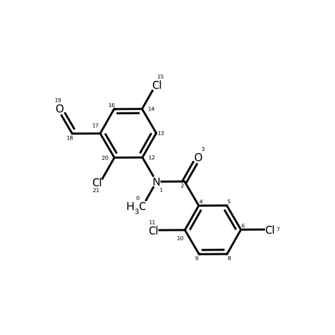 CN(C(=O)c1cc(Cl)ccc1Cl)c1cc(Cl)cc(C=O)c1Cl